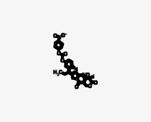 CCc1c2c(nc3ccc(OC(=O)Oc4ccc([N+](=O)[O-])cc4)cc13)-c1cc3c(c(=O)n1C2)COC(=O)[C@]3(O)I